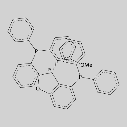 COc1cccc(P(c2ccccc2)c2ccccc2)c1[C@H]1COc2cccc(P(c3ccccc3)c3ccccc3)c21